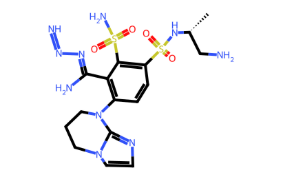 C[C@H](CN)NS(=O)(=O)c1ccc(N2CCCn3ccnc32)c(/C(N)=N/N=N)c1S(N)(=O)=O